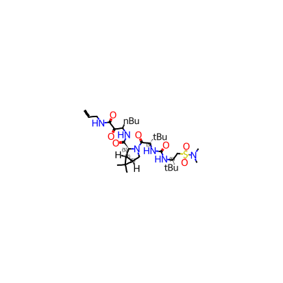 C=CCNC(=O)C(=O)C(CCCC)NC(=O)[C@@H]1[C@@H]2[C@H](CN1C(=O)[C@@H](NC(=O)N[C@H](CS(=O)(=O)N(C)C)C(C)(C)C)C(C)(C)C)C2(C)C